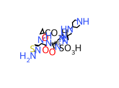 Nc1nc(C(=NOC2(C(=O)O)CC2)C(=O)N[C@@H]2C(=O)N(S(=O)(=O)O)[C@@H]2Cn2ncc(CNC3CCNCC3)n2)cs1